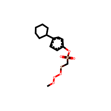 COOOSCS(=O)(=O)Oc1ccc(C2CCCCC2)cc1